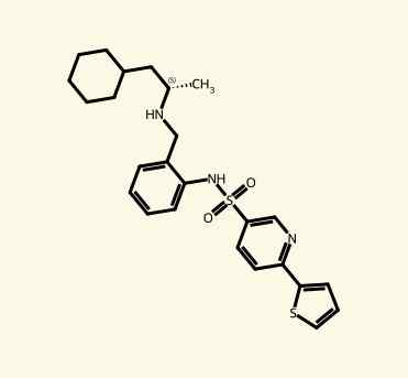 C[C@@H](CC1CCCCC1)NCc1ccccc1NS(=O)(=O)c1ccc(-c2cccs2)nc1